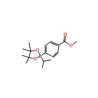 COC(=O)c1ccc([B-]2(C(C)C)OC(C)(C)C(C)(C)O2)cc1